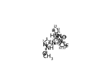 COCCNc1ncccc1CN1CCC2(CC1)C(NC1CCCCC1)=NC(=O)N2c1cccc(F)c1